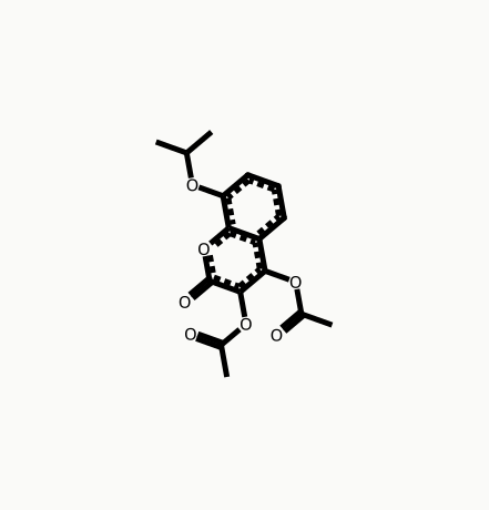 CC(=O)Oc1c(OC(C)=O)c2cccc(OC(C)C)c2oc1=O